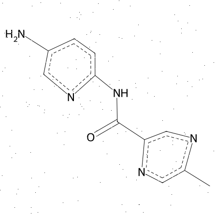 Cc1cnc(C(=O)Nc2ccc(N)cn2)cn1